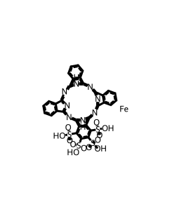 O=S(=O)(O)c1c(S(=O)(=O)O)c(S(=O)(=O)O)c2c3nc4nc(nc5[nH]c(nc6nc(nc([nH]3)c2c1S(=O)(=O)O)-c1ccccc1-6)c1ccccc51)-c1ccccc1-4.[Fe]